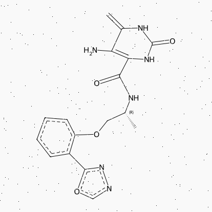 C=C1NC(=O)NC(C(=O)N[C@H](C)COc2ccccc2-c2nnco2)=C1N